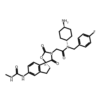 CNC(=O)Nc1ccc2c(c1)CC[C@@]21OC(=O)N(CC(=O)N(Cc2ccc(F)cc2)[C@H]2CC[C@H](N)CC2)C1=O